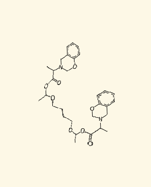 CC(OCCCCOC(C)OC(=O)C(C)N1COc2ccccc2C1)OC(=O)C(C)N1COc2ccccc2C1